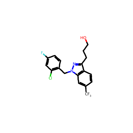 OCCCc1nn(Cc2ccc(F)cc2Cl)c2cc(C(F)(F)F)ccc12